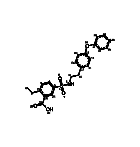 CCc1ccc(S(=O)(=O)NCCc2ccc(Oc3ccncc3)cc2)cc1C(=O)O